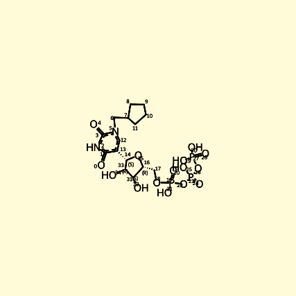 O=c1[nH]c(=O)n(CC2CCCC2)cc1[C@@H]1O[C@H](COP(=O)(O)OP(=O)(O)OP(=O)(O)O)[C@@H](O)[C@H]1O